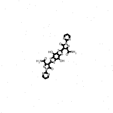 NC(=O)C1=NN(c2ncccn2)C(=O)C1=C1Sc2c(O)c3c(c(O)c2S1)SC(=C1C(=O)N(c2ncccn2)N=C1C(N)=O)S3